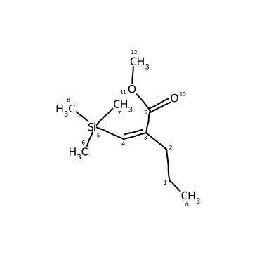 CCCC(=C[Si](C)(C)C)C(=O)OC